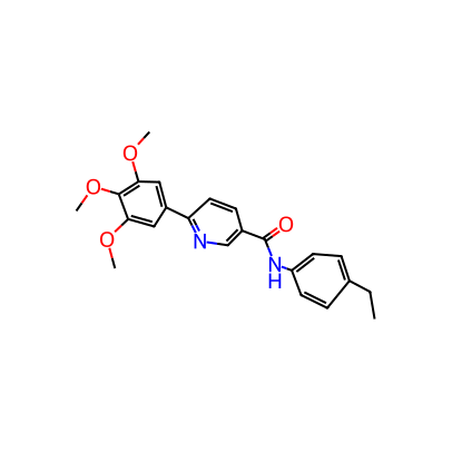 CCc1ccc(NC(=O)c2ccc(-c3cc(OC)c(OC)c(OC)c3)nc2)cc1